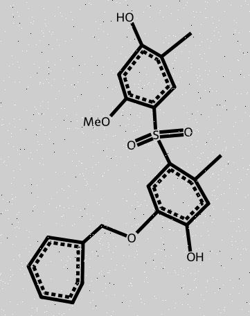 COc1cc(O)c(C)cc1S(=O)(=O)c1cc(OCc2ccccc2)c(O)cc1C